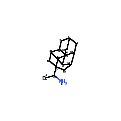 CCC(N)C12CC3C4CC5CC3C(C1)C(C5)C4C2